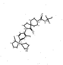 Cc1cc([N+]2(C3CCNC3)CCCC2C)ccc1N1CCC2(CCN(C(=O)OC(C)(C)C)CC2)C1=O